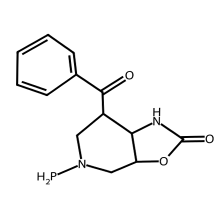 O=C1NC2C(CN(P)CC2C(=O)c2ccccc2)O1